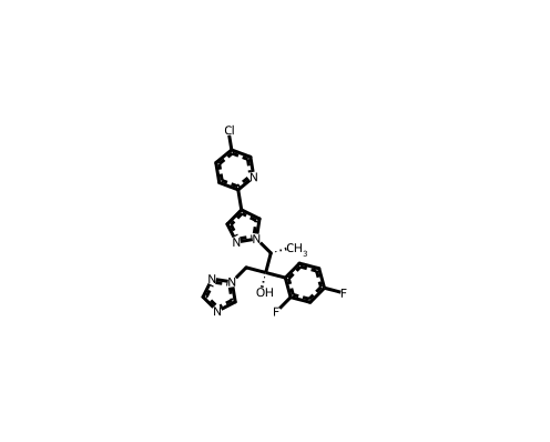 C[C@@H](n1cc(-c2ccc(Cl)cn2)cn1)[C@](O)(Cn1cncn1)c1ccc(F)cc1F